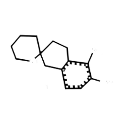 COc1ccc2c(c1[N+](=O)[O-])CCC1(CCCCN1)C2.Cl